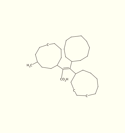 CC1CCCCCCC(C(C(=O)O)=C(C2CCCCCCCCC2)C2CCCCCCCCC2)CC1